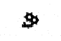 CNC.Oc1cccc2ccccc12